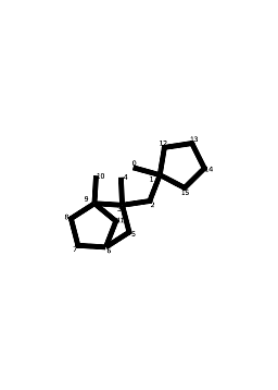 CC1(CC2(C)CC3CCC2(C)C3)CCCC1